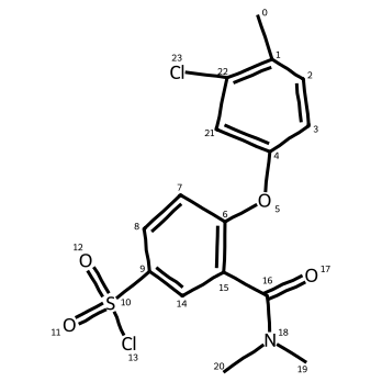 Cc1ccc(Oc2ccc(S(=O)(=O)Cl)cc2C(=O)N(C)C)cc1Cl